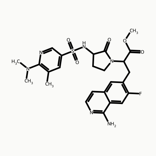 COC(=O)C(Cc1cc2ccnc(N)c2cc1F)N1CCC(NS(=O)(=O)c2cnc(N(C)C)c(C)c2)C1=O